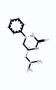 CN(C)C[C@H](CSc1ccccc1)NC(=O)O